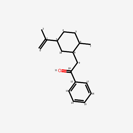 C=C(C)C1CCC(C)C(CC(=O)c2ccccc2)C1